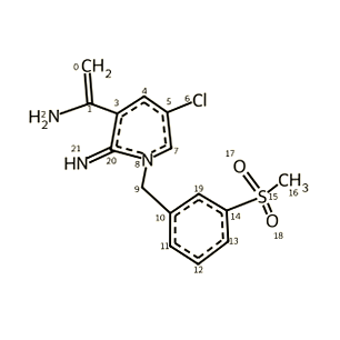 C=C(N)c1cc(Cl)cn(Cc2cccc(S(C)(=O)=O)c2)c1=N